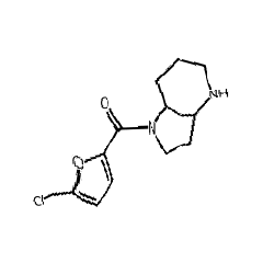 O=C(c1ccc(Cl)o1)N1CCC2NCCCC21